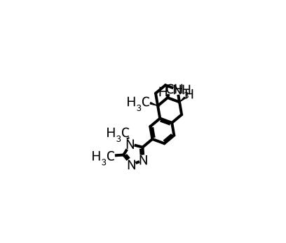 Cc1nnc(-c2ccc3c(c2)[C@]2(C)CCN[C@H](C3)[C@H]2C)n1C